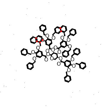 O=C(OC1OC[C@H](OC(=O)c2cc(OCc3ccccc3)c(OCc3ccccc3)c(OCc3ccccc3)c2)[C@H](OC(=O)c2cc(OCc3ccccc3)c(OCc3ccccc3)c(OCc3ccccc3)c2)[C@H]1OC(=O)c1cc(OCc2ccccc2)c(OCc2ccccc2)c(OCc2ccccc2)c1)c1cc(OCc2ccccc2)c(OCc2ccccc2)c(OCc2ccccc2)c1